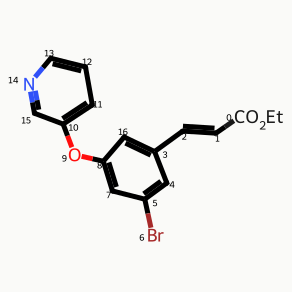 CCOC(=O)C=Cc1cc(Br)cc(Oc2cccnc2)c1